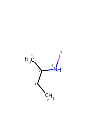 CCC(C)NI